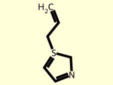 C=CCS1=CC=NC1